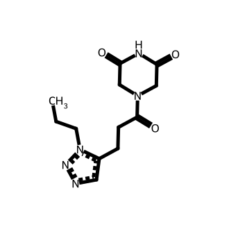 CCCn1nncc1CCC(=O)N1CC(=O)NC(=O)C1